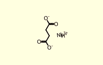 O=C([O-])CCC(=O)[O-].[H+].[Nb+3]